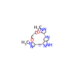 Cn1ncc2c1OCCCOc1c(cnn1C)-c1cc3c(n[nH]c3cn1)/C=C/2